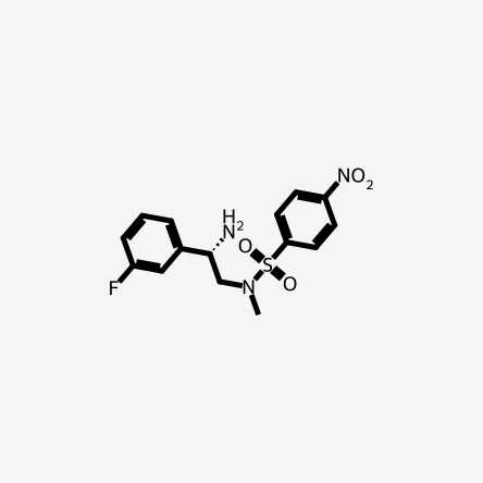 CN(C[C@@H](N)c1cccc(F)c1)S(=O)(=O)c1ccc([N+](=O)[O-])cc1